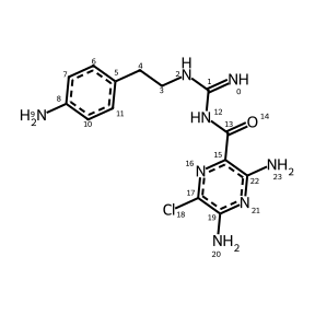 N=C(NCCc1ccc(N)cc1)NC(=O)c1nc(Cl)c(N)nc1N